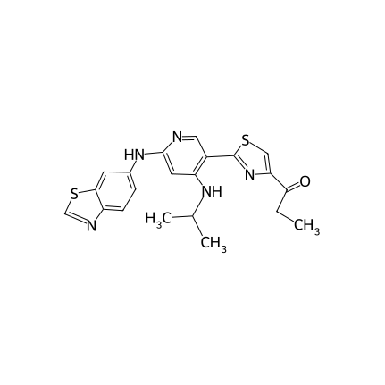 CCC(=O)c1csc(-c2cnc(Nc3ccc4ncsc4c3)cc2NC(C)C)n1